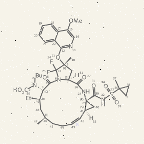 CCC(C)N(C(=O)O)[C@@H]1C(=O)N2[C@@H](C[C@@](C)(Oc3ncc(OC)c4ccccc34)C2(F)F)C(=O)N[C@]2(C(=O)NS(=O)(=O)C3(C)CC3)C[C@H]2/C=C\CC[C@@H](C)C[C@H]1CC